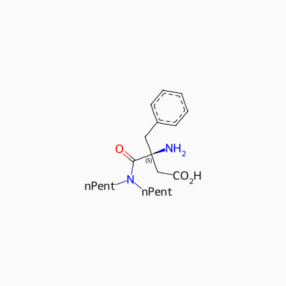 CCCCCN(CCCCC)C(=O)[C@@](N)(CC(=O)O)Cc1ccccc1